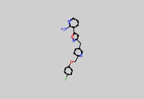 Nc1ncccc1-c1cc(Cc2ccc(COc3ccc(F)cc3)nc2)no1